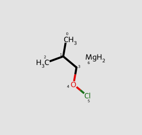 CC(C)COCl.[MgH2]